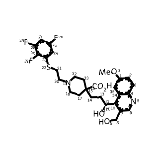 COc1ccc2ncc(CO)c([C@@H](O)CCC3(C(=O)O)CCN(CCSc4cc(F)cc(F)c4F)CC3)c2c1